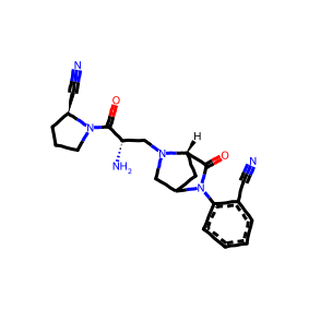 N#Cc1ccccc1N1C(=O)[C@@H]2CC1CN2C[C@H](N)C(=O)N1CCC[C@H]1C#N